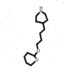 C(CCC1CCNCC1)COC1CCCCO1